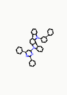 c1ccc(-c2cccc(-n3c4ccccc4c4ccc5c(c6ccccc6n5-c5cc(-c6ccccc6)nc(-c6ccccc6)n5)c43)c2)cc1